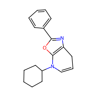 C1=CN(C2CCCCC2)c2oc(-c3ccccc3)nc2C1